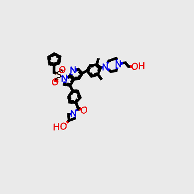 Cc1cc(-c2cnc3c(c2)c(-c2ccc(C(=O)N4CC(O)C4)cc2)cn3S(=O)(=O)Cc2ccccc2)cc(C)c1N1CCN(CCO)CC1